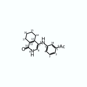 CC(=O)c1cccc(Nc2c[nH]c(=O)c3c2CCCC3)c1